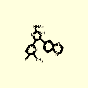 CC(=O)Nc1nc(-c2ccc(F)c(C)n2)c(-c2ccc3nccnc3c2)[nH]1